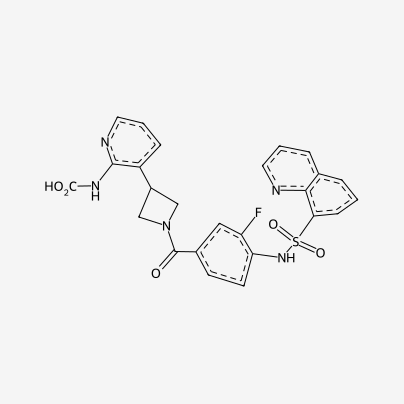 O=C(O)Nc1ncccc1C1CN(C(=O)c2ccc(NS(=O)(=O)c3cccc4cccnc34)c(F)c2)C1